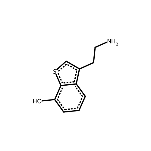 NCCc1csc2c(O)cccc12